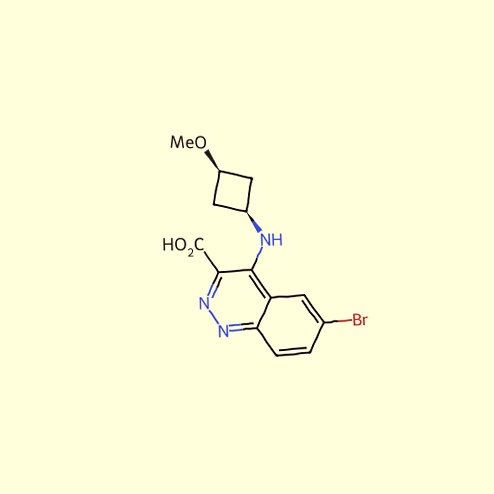 CO[C@H]1C[C@@H](Nc2c(C(=O)O)nnc3ccc(Br)cc23)C1